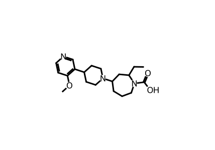 CCC1CC(N2CCC(c3cnccc3OC)CC2)CCCN1C(=O)O